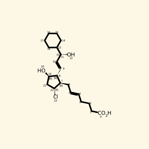 O=C(O)CCCC=CC[C@@H]1[C@@H](C=C[C@@H](O)C2CCCCC2)[C@H](O)C[C@H]1Cl